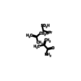 C=C(C)C(=O)O.C=C(C)C(N)=O.CC(C)CS(=O)(=O)O